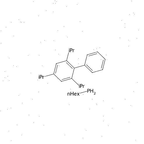 CC(C)c1cc(C(C)C)c(-c2ccccc2)c(C(C)C)c1.CCCCCCP